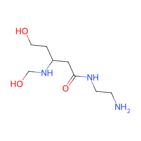 NCCNC(=O)CC(CCO)NCO